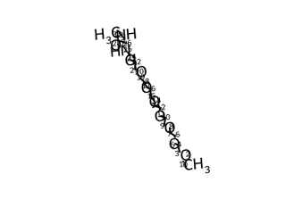 CCOCCOCCOCCOCCOCCOCCOCCOCNCC(=O)NC